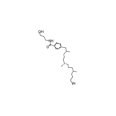 CC(C)CCCC(C)CCCC(C)CCCC(C)Cc1ccc(C(=O)NCCCO)cc1